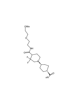 CCCC(=O)[C@H]1CC[C@@H](N2CCC(C(=O)NCCOCCOC)C(F)(F)C2)CC1